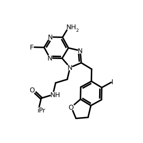 CC(C)C(=O)NCCn1c(Cc2cc3c(cc2I)CCO3)nc2c(N)nc(F)nc21